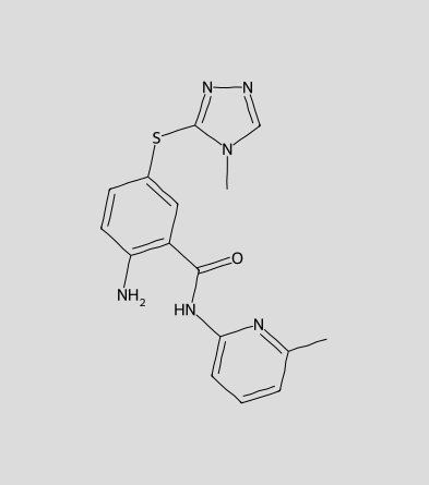 Cc1cccc(NC(=O)c2cc(Sc3nncn3C)ccc2N)n1